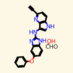 C#Cc1ccc2[nH]cc(Nc3nc4cc(Oc5ccccc5)ccc4[nH]3)c2n1.O=CO